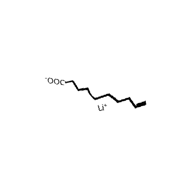 C=CCCCCCCCC(=O)[O-].[Li+]